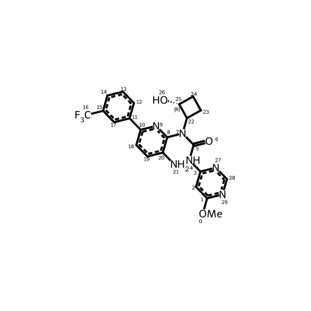 COc1cc(NC(=O)N(c2nc(-c3cccc(C(F)(F)F)c3)ccc2N)C2CC[C@H]2O)ncn1